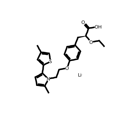 CCO[C@@H](Cc1ccc(OCCn2c(C)ccc2-c2cc(C)cs2)cc1)C(=O)O.[Li]